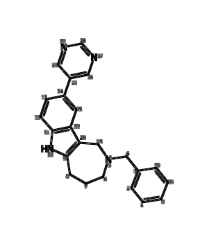 c1ccc(CN2CCCc3[nH]c4ccc(-c5cncnc5)cc4c3C2)cc1